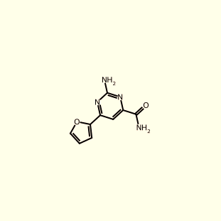 NC(=O)c1cc(-c2ccco2)nc(N)n1